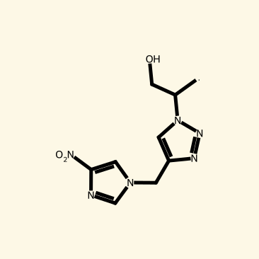 [CH2]C(CO)n1cc(Cn2cnc([N+](=O)[O-])c2)nn1